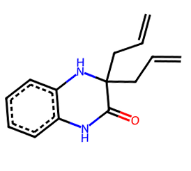 C=CCC1(CC=C)Nc2ccccc2NC1=O